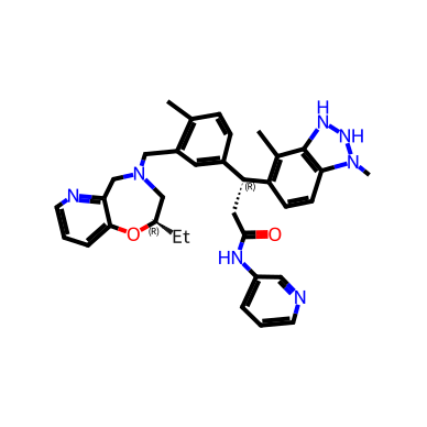 CC[C@@H]1CN(Cc2cc([C@@H](CC(=O)Nc3cccnc3)c3ccc4c(c3C)NNN4C)ccc2C)Cc2ncccc2O1